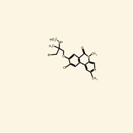 Cc1cc2c3cc(Cl)c(OCC(C)(CC(C)C)NC(=O)O)cc3c(=O)n(C)c2cn1